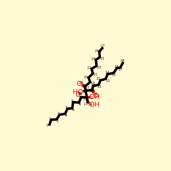 CCCCCCCCCC(=O)C(O)(CO)C(O)(C(=O)CCCCCCCCC)C(=O)CCCCCCCCC